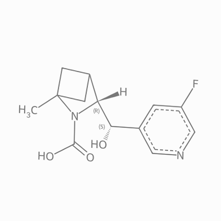 CC12CC(C1)[C@H]([C@@H](O)c1cncc(F)c1)N2C(=O)O